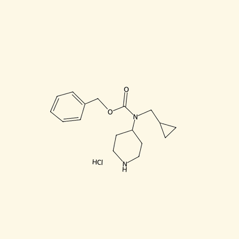 Cl.O=C(OCc1ccccc1)N(CC1CC1)C1CCNCC1